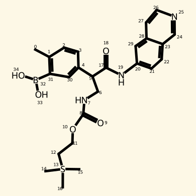 Cc1ccc(C(CNC(=O)OCCS(C)(C)C)C(=O)Nc2ccc3cnccc3c2)cc1B(O)O